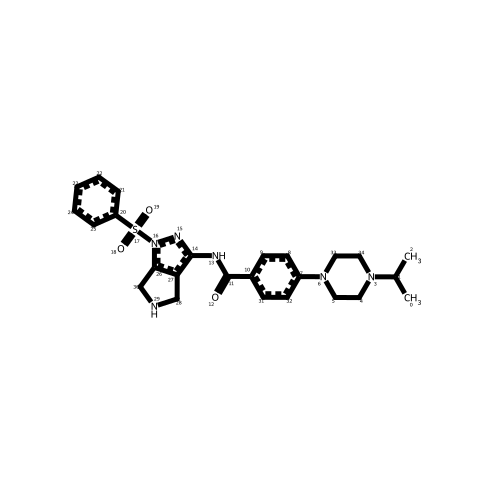 CC(C)N1CCN(c2ccc(C(=O)Nc3nn(S(=O)(=O)c4ccccc4)c4c3CNC4)cc2)CC1